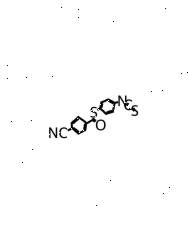 N#Cc1ccc(C(=O)Sc2ccc(N=C=S)cc2)cc1